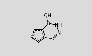 OB1NN=Cc2cscc21